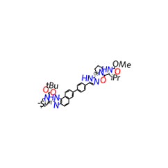 COC(=O)NC(C(=O)N1CCC[C@H]1c1ncc(-c2ccc(-c3ccc4c(ccc5nc([C@@H]6C[Si](C)(C)CN6C(=O)OC(C)(C)C)[nH]c54)c3)cc2)[nH]1)C(C)C